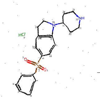 Cl.O=S(=O)(c1ccccc1)c1ccc2c(c1)CCN2C1CCNCC1